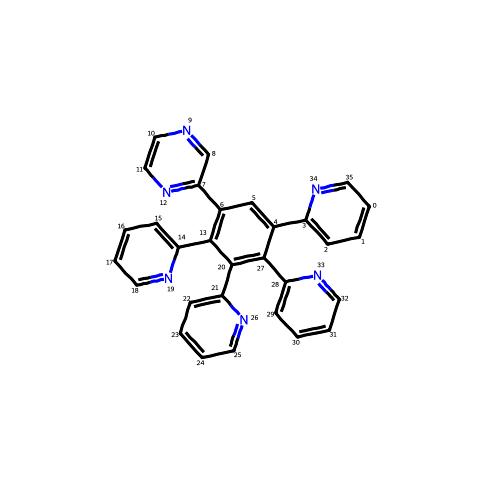 c1ccc(-c2cc(-c3cnccn3)c(-c3ccccn3)c(-c3ccccn3)c2-c2ccccn2)nc1